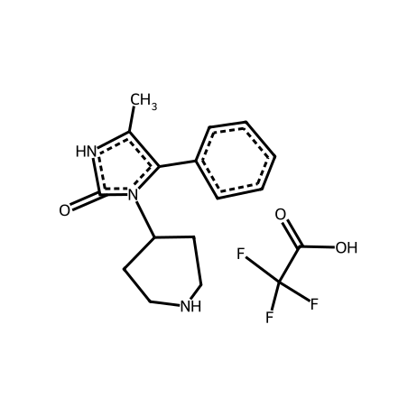 Cc1[nH]c(=O)n(C2CCNCC2)c1-c1ccccc1.O=C(O)C(F)(F)F